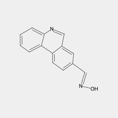 ON=Cc1ccc2c(cnc3ccccc32)c1